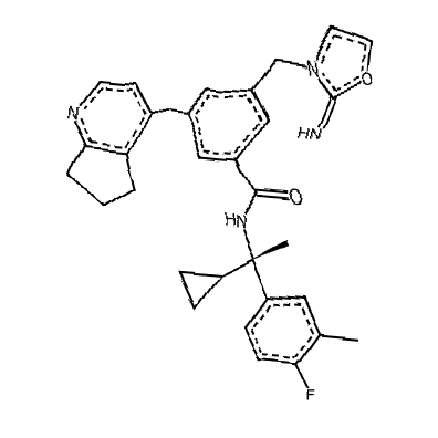 Cc1cc([C@@](C)(NC(=O)c2cc(Cn3ccoc3=N)cc(-c3ccnc4c3CCC4)c2)C2CC2)ccc1F